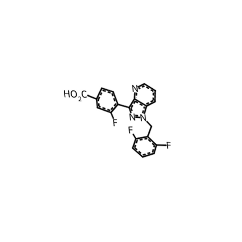 O=C(O)c1ccc(-c2nn(Cc3c(F)cccc3F)c3cccnc23)c(F)c1